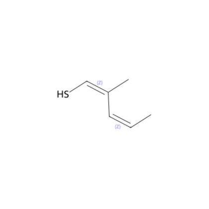 C/C=C\C(C)=C/S